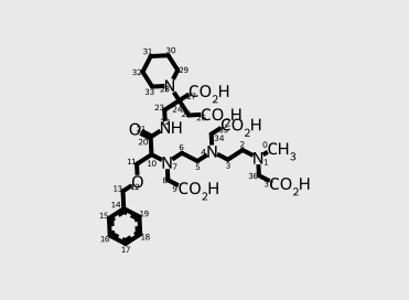 CN(CCN(CCN(CC(=O)O)C(COCc1ccccc1)C(=O)NCC(CC(=O)O)(C(=O)O)N1CCCCC1)CC(=O)O)CC(=O)O